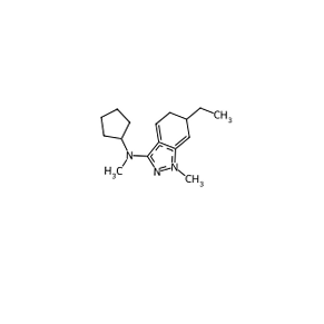 CCC1C=c2c(c(N(C)C3CCCC3)nn2C)=CC1